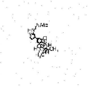 CNCCNc1cc(-c2cc(Cl)c(S(=O)(=O)Nc3c(C)nn(C)c3C)c(Cl)c2)ccn1